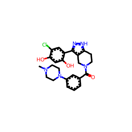 CN1CCN(c2cccc(C(=O)N3CCc4[nH]nc(-c5cc(Cl)c(O)cc5O)c4C3)c2)CC1